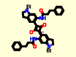 CCN1CCc2cc(C3=C([O-])/C(=c4/cc5c(cc4NC(=O)CCc4ccccc4)=[N+](CC)CC5)C3=O)c(NC(=O)CCc3ccccc3)cc21